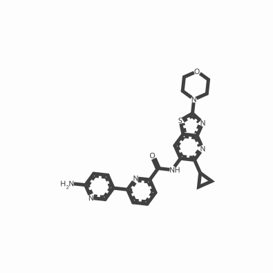 Nc1ccc(-c2cccc(C(=O)Nc3cc4sc(N5CCOCC5)nc4nc3C3CC3)n2)cn1